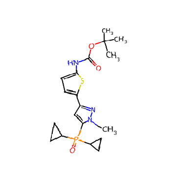 Cn1nc(-c2ccc(NC(=O)OC(C)(C)C)s2)cc1P(=O)(C1CC1)C1CC1